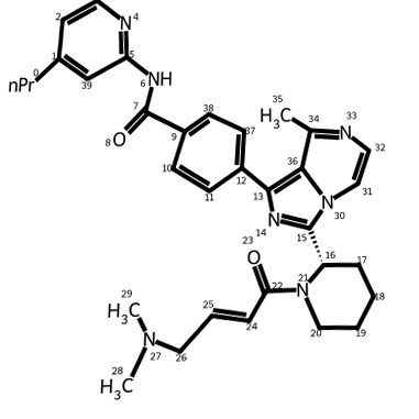 CCCc1ccnc(NC(=O)c2ccc(-c3nc([C@@H]4CCCCN4C(=O)C=CCN(C)C)n4ccnc(C)c34)cc2)c1